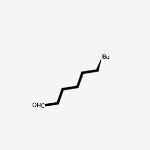 CC[C@H](C)CCCCCC=O